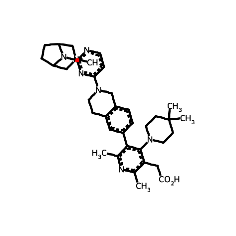 Cc1nc(C)c(-c2ccc3c(c2)CCN(c2ccnc(N4C5CCC4CN(C)C5)n2)C3)c(N2CCC(C)(C)CC2)c1CC(=O)O